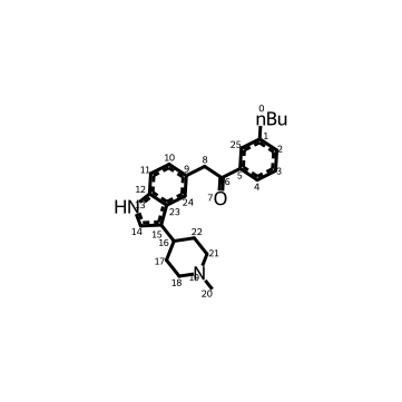 CCCCc1cccc(C(=O)Cc2ccc3[nH]cc(C4CCN(C)CC4)c3c2)c1